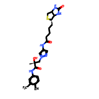 C[C@](O)(Cn1cc(NC(=O)CCCC[C@@H]2SCC3NC(=O)NC32)cn1)C(=O)Nc1ccc(C#N)c(C(F)(F)F)c1